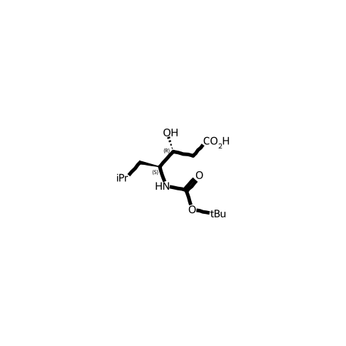 CC(C)C[C@H](NC(=O)OC(C)(C)C)[C@H](O)CC(=O)O